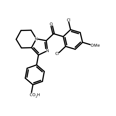 COc1cc(Cl)c(C(=O)c2nc(-c3ccc(C(=O)O)cc3)c3n2CCCC3)c(Cl)c1